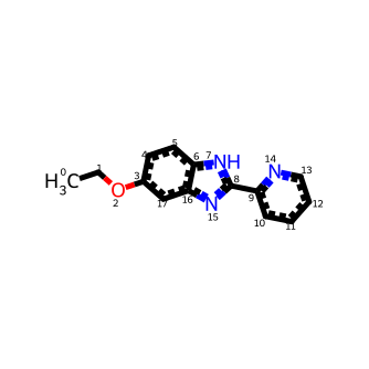 CCOc1ccc2[nH]c(-c3ccccn3)nc2c1